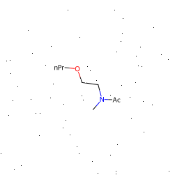 CCCOCCN(C)C(C)=O